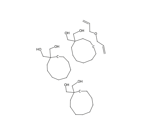 C=CCOCC=C.OCC1(CO)CCCCCCCCC1.OCC1(CO)CCCCCCCCC1.OCC1(CO)CCCCCCCCC1